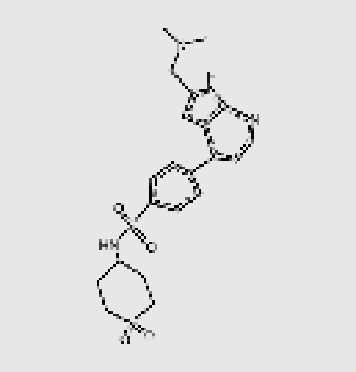 CN(C)Cc1cc2c(-c3ccc(S(=O)(=O)NC4CCS(=O)(=O)CC4)cc3)ccnc2[nH]1